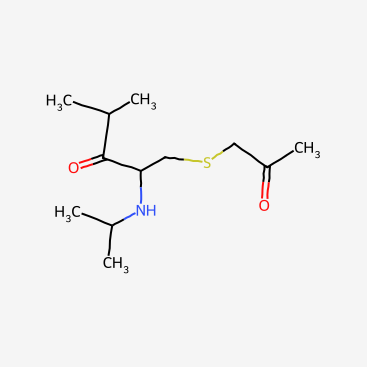 CC(=O)CSCC(NC(C)C)C(=O)C(C)C